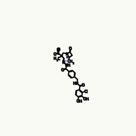 C[C@@H]1CC(=O)N1C[C@](C)(/C=N/NC(=O)c1ccc(CNC(=O)c2ccc(O)c(O)c2Cl)cc1)[SH](=O)=O